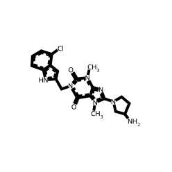 Cn1c(N2CCC(N)C2)nc2c1c(=O)n(Cc1cc3c(Cl)cccc3[nH]1)c(=O)n2C